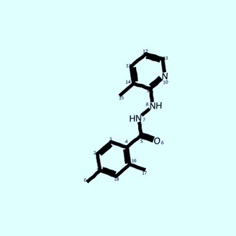 Cc1ccc(C(=O)NNc2ncccc2C)c(C)c1